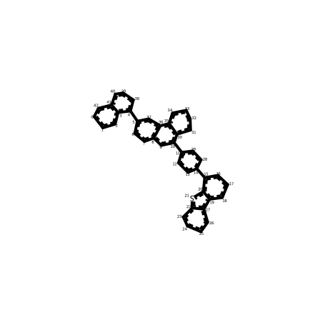 c1ccc2c(-c3ccc4cc(-c5ccc(-c6cccc7c6sc6ccccc67)cc5)c5ccccc5c4c3)cccc2c1